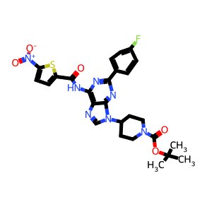 CC(C)(C)OC(=O)N1CCC(n2cnc3c(NC(=O)c4ccc([N+](=O)[O-])s4)nc(-c4ccc(F)cc4)nc32)CC1